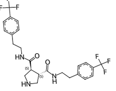 O=C(NCCc1ccc(C(F)(F)F)cc1)[C@@H]1CNC[C@H]1C(=O)NCCc1ccc(C(F)(F)F)cc1